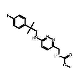 COC(=O)NCc1ccc(NCC(C)(C)c2ccc(F)cc2)nn1